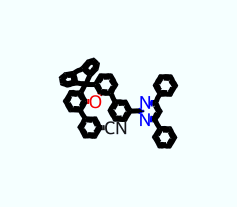 N#Cc1cccc(-c2cccc3c2Oc2c(-c4cccc(-c5nc(-c6ccccc6)cc(-c6ccccc6)n5)c4)cccc2C32c3ccccc3-c3ccccc32)c1